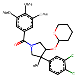 CCCC1(c2ccc(Cl)c(Cl)c2)CN(C(=O)c2cc(OC)c(OC)c(OC)c2)CC1OC1CCCCO1